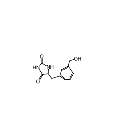 O=C1NC(=O)C(Cc2cccc(CO)c2)N1